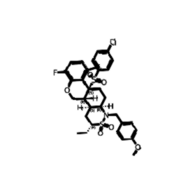 CC[C@@H]1C[C@@H]2[C@@H](CC[C@@]3(S(=O)(=O)c4ccc(Cl)cc4)c4c(F)ccc(F)c4OC[C@@H]23)N(Cc2ccc(OC)cc2)S1(=O)=O